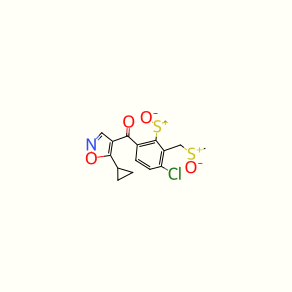 C[S+]([O-])Cc1c(Cl)ccc(C(=O)c2cnoc2C2CC2)c1[S+](C)[O-]